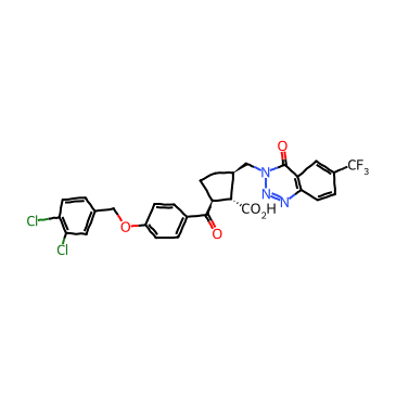 O=C(O)[C@H]1[C@H](Cn2nnc3ccc(C(F)(F)F)cc3c2=O)CC[C@@H]1C(=O)c1ccc(OCc2ccc(Cl)c(Cl)c2)cc1